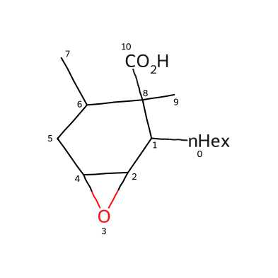 CCCCCCC1C2OC2CC(C)C1(C)C(=O)O